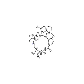 CC[C@]1(C(F)F)/C=C/C[C@H](C)[C@@H](C)S(=O)(=O)NC(=O)c2ccc3c(c2)N(C[C@@H]2CC[C@H]21)C[C@@]1(CCCc2cc(Cl)ccc21)CO3